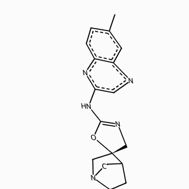 Cc1ccc2nc(NC3=NC[C@@]4(CN5CCC4CC5)O3)cnc2c1